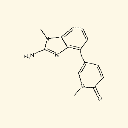 Cn1cc(-c2cccc3c2nc(N)n3C)ccc1=O